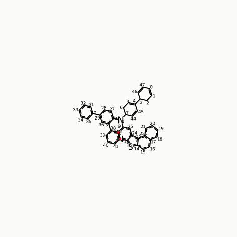 C1=CCC(C2=CCC(N(c3cnc4sc5ccc6ccccc6c5c4c3)c3ccc(-c4ccccc4)cc3-c3ccccc3)C=C2)C=C1